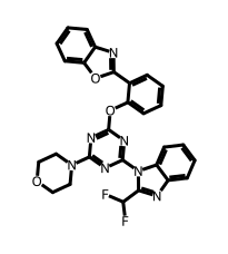 FC(F)c1nc2ccccc2n1-c1nc(Oc2ccccc2-c2nc3ccccc3o2)nc(N2CCOCC2)n1